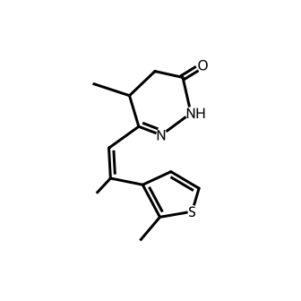 CC(=CC1=NNC(=O)CC1C)c1ccsc1C